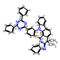 CC1(C)c2ccc3c4ccccc4n(-c4cccc(-c5nc(-c6ccccc6)nc(-c6ccccc6)n5)c4)c3c2C(=O)n2c1nc1ccccc12